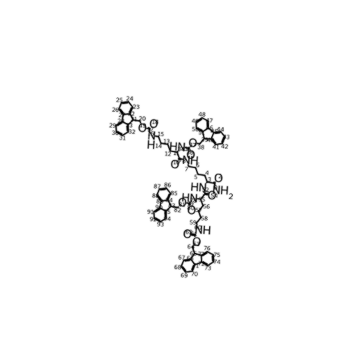 NC(=O)C(CCCCNC(=O)C(CCCCNC(=O)OCC1c2ccccc2-c2ccccc21)NC(=O)OCC1c2ccccc2-c2ccccc21)NC(=O)C(CCCCNC(=O)OCC1c2ccccc2-c2ccccc21)NC(=O)OCC1c2ccccc2-c2ccccc21